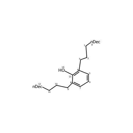 CCCCCCCCCCCCCc1cccc(CCCCCCCCCCCCC)c1O